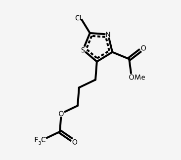 COC(=O)c1nc(Cl)sc1CCCOC(=O)C(F)(F)F